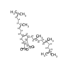 CC(C)=CCC/C(C)=C/CCC1=CC(C/C=C(\C)CC/C=C(\C)CCC=C(C)C)C2C(C1)C1C(=O)OC(=O)C12